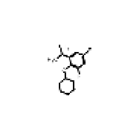 CC(C)c1cc(F)cc(F)c1OC1CCCCC1